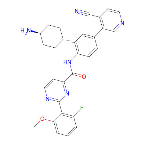 COc1cccc(F)c1-c1nccc(C(=O)Nc2ccc(-c3cnccc3C#N)cc2[C@H]2CC[C@H](N)CC2)n1